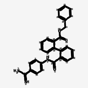 N=C(N)c1ccc(NC(=O)c2ccccc2-c2ccccc2C(=O)OCc2ccccc2)cc1